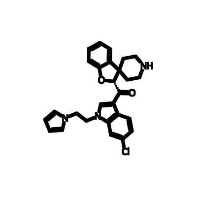 O=C(c1cn(CCn2cccc2)c2cc(Cl)ccc12)[C@@H]1Oc2ccccc2C12CCNCC2